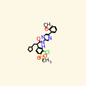 COc1ccccc1-c1cnc(NC(=O)C(CC2CCCC2)c2ccc(S(C)(=O)=O)c(Cl)c2)cn1